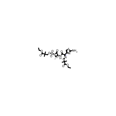 CCOC(=O)C(C)(C)COS(=O)(=O)N1C(=O)[C@@H](NC(=O)/C(=N\OC(C)(C)C(=O)OCC)c2csc(N)n2)[C@@H]1C